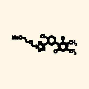 COCCOCn1nnc(-c2cc(-n3c(=O)cc(C(F)(F)F)n(C)c3=O)ccc2Cl)n1